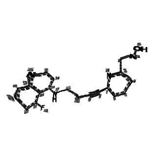 O/N=C/c1cccc(C#CCCNc2ccnc3cccc(F)c23)n1